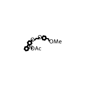 COCCc1ccc(OCCCOc2ccc3c4ccccc4n(OC(C)=O)c3c2)cc1